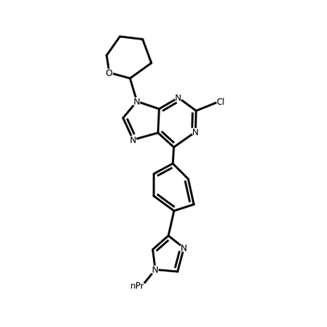 CCCn1cnc(-c2ccc(-c3nc(Cl)nc4c3ncn4C3CCCCO3)cc2)c1